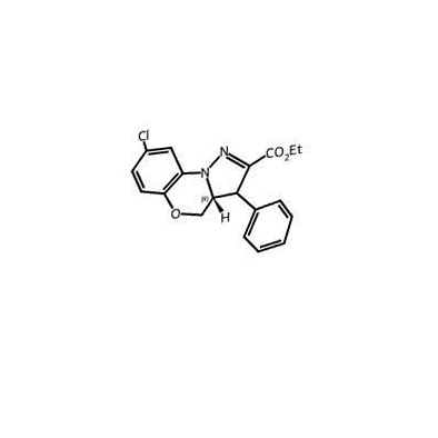 CCOC(=O)C1=NN2c3cc(Cl)ccc3OC[C@H]2C1c1ccccc1